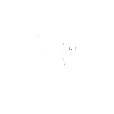 COC(=O)c1ccc(CN(C)C)cc1S(=N)(N)=O